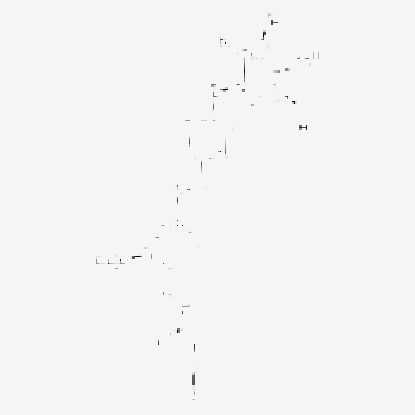 CCOC(=O)[C@H](CCCC(=O)C=[N+]=N)NC(=O)OCc1ccc(O[C@@H]2O[C@H](CO)[C@@H](O)[C@H](O)[C@H]2O)cc1